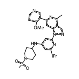 COc1ccncc1-c1cc2c(cnn2-c2cc(NC3CCN(S(C)(=O)=O)CC3)cc(C(C)C)n2)c(C)n1